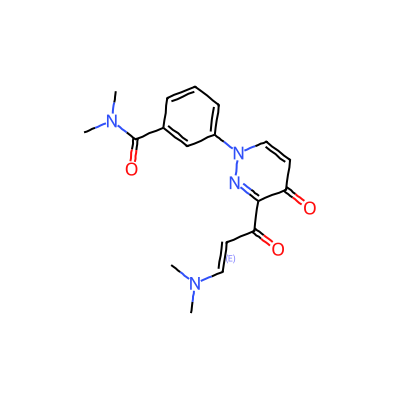 CN(C)/C=C/C(=O)c1nn(-c2cccc(C(=O)N(C)C)c2)ccc1=O